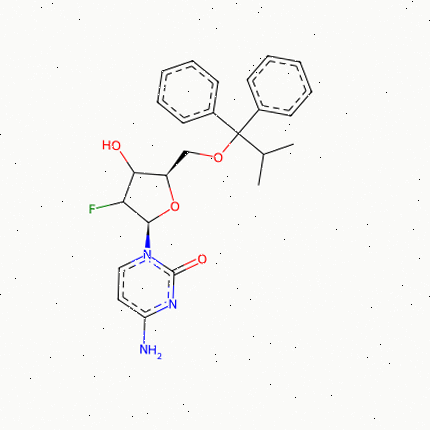 CC(C)C(OC[C@H]1O[C@@H](n2ccc(N)nc2=O)C(F)C1O)(c1ccccc1)c1ccccc1